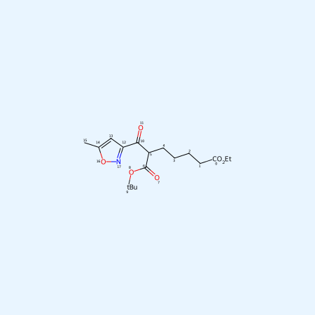 CCOC(=O)CCCCC(C(=O)OC(C)(C)C)C(=O)c1cc(C)on1